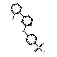 NS(=O)(=O)c1ccc(Nc2nccc(-c3ccccc3Cl)n2)cc1